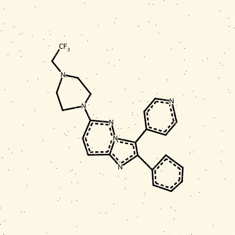 FC(F)(F)CN1CCN(c2ccc3nc(-c4ccccc4)c(-c4ccncc4)n3n2)CC1